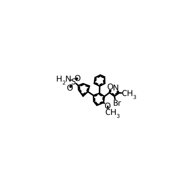 COc1ccc(-c2ccc(S(N)(=O)=O)cc2)c(-c2ccccc2)c1-c1onc(C)c1Br